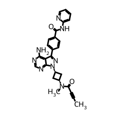 CC#CC(=O)N(C)[C@H]1C[C@@H](n2nc(-c3ccc(C(=O)Nc4ccccn4)cc3)c3c(N)ncnc32)C1